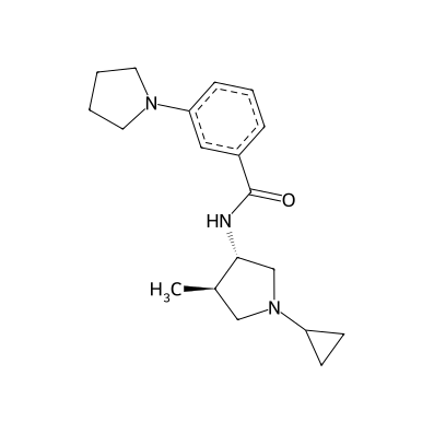 C[C@@H]1CN(C2CC2)C[C@H]1NC(=O)c1cccc(N2CCCC2)c1